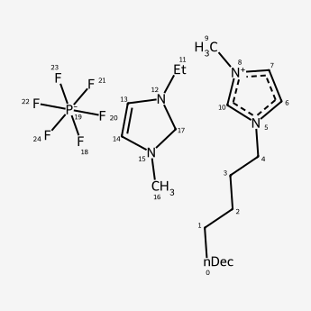 CCCCCCCCCCCCCCn1cc[n+](C)c1.CCN1C=CN(C)C1.F[P-](F)(F)(F)(F)F